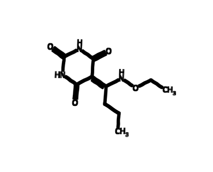 CCCC(NOCC)=C1C(=O)NC(=O)NC1=O